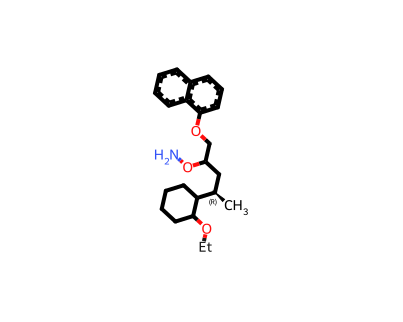 CCOC1CCCCC1[C@H](C)CC(COc1cccc2ccccc12)ON